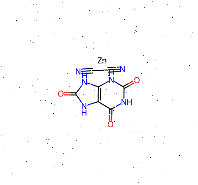 N#CC#N.O=c1[nH]c(=O)c2[nH]c(=O)[nH]c2[nH]1.[Zn]